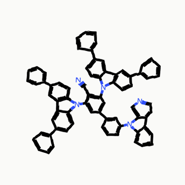 N#Cc1c(-n2c3ccc(-c4ccccc4)cc3c3cc(-c4ccccc4)ccc32)cc(-c2cccc(-n3c4ccccc4c4ccncc43)c2)cc1-n1c2ccc(-c3ccccc3)cc2c2cc(-c3ccccc3)ccc21